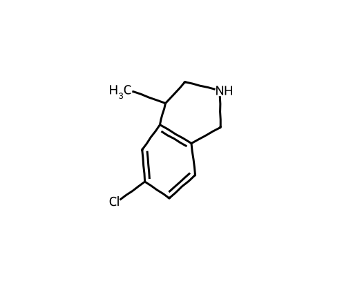 CC1CNCc2ccc(Cl)cc21